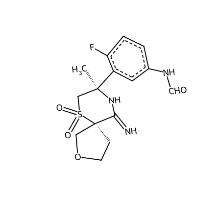 C[C@@]1(c2cc(NC=O)ccc2F)CS(=O)(=O)[C@@]2(CCOC2)C(=N)N1